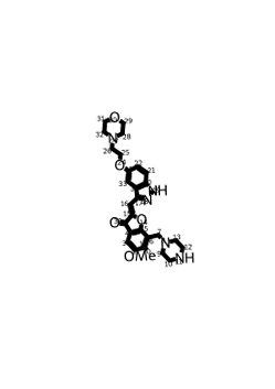 COc1ccc2c(c1CN1CCNCC1)OC(=Cc1n[nH]c3ccc(OCCN4CCOCC4)cc13)C2=O